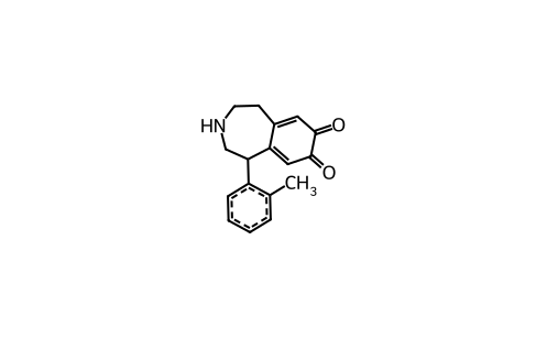 Cc1ccccc1C1CNCCC2=CC(=O)C(=O)C=C21